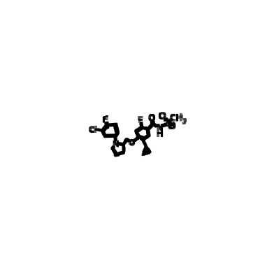 CS(=O)(=O)NC(=O)c1cc(C2CC2)c(OCC2CCCN2c2ccc(F)c(Cl)c2)cc1F